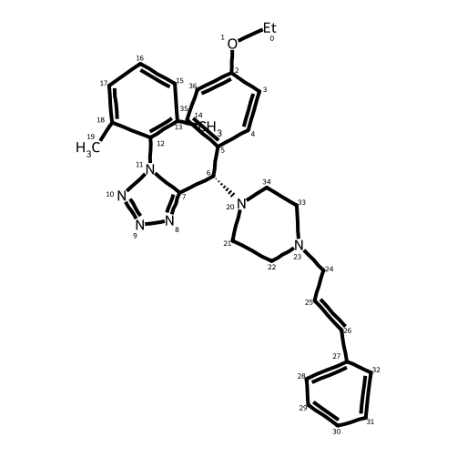 CCOc1ccc([C@@H](c2nnnn2-c2c(C)cccc2C)N2CCN(C/C=C/c3ccccc3)CC2)cc1